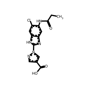 CCC(=O)Nc1cc2nc(-n3cc(C(=O)O)cn3)[nH]c2cc1Cl